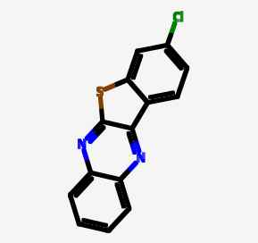 Clc1ccc2c(c1)sc1nc3ccccc3nc12